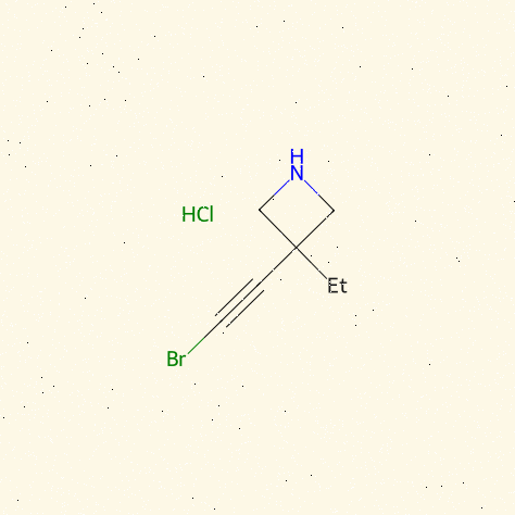 CCC1(C#CBr)CNC1.Cl